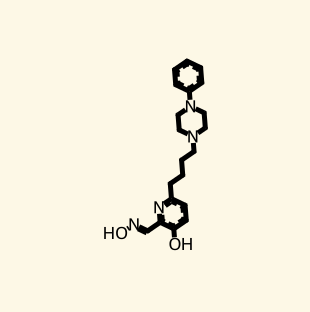 ON=Cc1nc(CCCCN2CCN(c3ccccc3)CC2)ccc1O